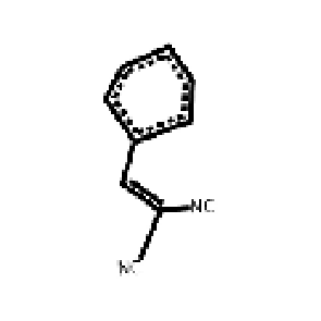 [C-]#[N+]/C(C#N)=C\c1ccccc1